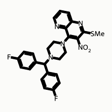 CSc1nc2cccnc2c(N2CCN(C(c3ccc(F)cc3)c3ccc(F)cc3)CC2)c1[N+](=O)[O-]